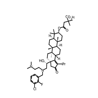 CC(C)C1=C2[C@H]3CC[C@@H]4[C@@]5(C)CC[C@H](OC(=O)CC(C)(C)C(=O)O)C(C)(C)[C@@H]5CC[C@@]4(C)[C@]3(C)CC[C@@]2([C@@H](O)CN(CCN(C)C)Cc2cccc(Cl)c2F)CC1=O